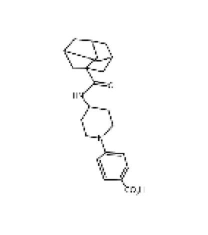 O=C(O)c1ccc(N2CCC(NC(=O)C34CC5CC(CC(C5)C3)C4)CC2)cc1